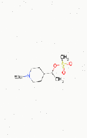 CC(OS(C)(=O)=O)C1CCN(C(C)(C)C)CC1